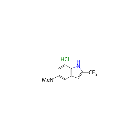 CNc1ccc2[nH]c(C(F)(F)F)cc2c1.Cl